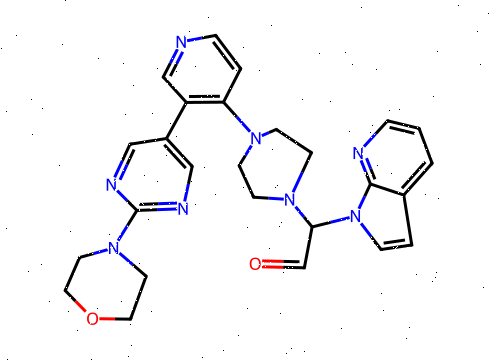 O=CC(N1CCN(c2ccncc2-c2cnc(N3CCOCC3)nc2)CC1)n1ccc2cccnc21